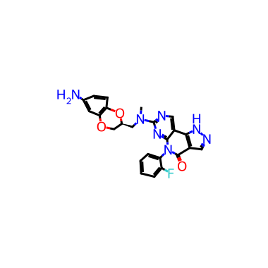 CN(C[C@H]1COc2cc(N)ccc2O1)c1ncc2c3[nH]ncc3c(=O)n(-c3ccccc3F)c2n1